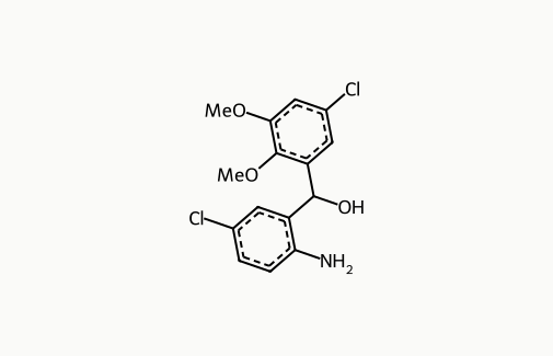 COc1cc(Cl)cc(C(O)c2cc(Cl)ccc2N)c1OC